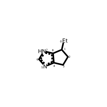 CCC1CCc2nc[nH]c21